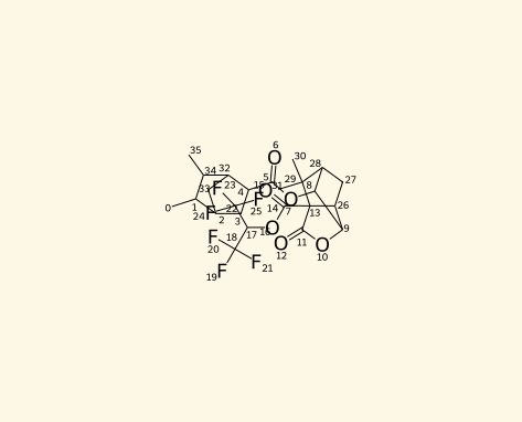 CC1C2CC(C(=O)OC3C4OC(=O)C5(C(=O)OC(C(F)(F)F)C(F)(F)F)C4CC3C5(C)C)C(C2)C1C